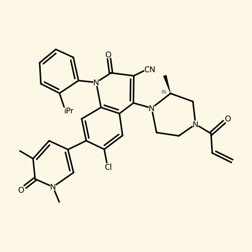 C=CC(=O)N1CCN(c2c(C#N)c(=O)n(-c3ccccc3C(C)C)c3cc(-c4cc(C)c(=O)n(C)c4)c(Cl)cc23)[C@@H](C)C1